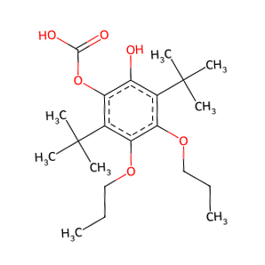 CCCOc1c(OCCC)c(C(C)(C)C)c(OC(=O)O)c(O)c1C(C)(C)C